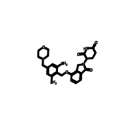 Bc1cc(CN2CCOCC2)cc(B)c1COc1cccc2c1CN(C1CCC(=O)NC1=O)C2=O